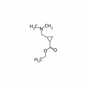 CCOC(=O)C1CC1CN(C)C